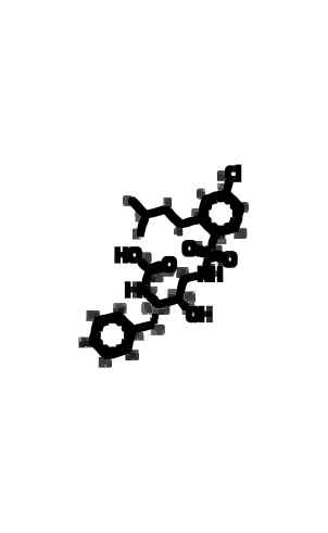 CC(C)CCc1cc(Cl)ccc1S(=O)(=O)NC[C@@H](O)[C@H](Cc1ccccc1)NC(=O)O